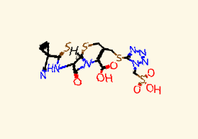 N#CC1(C(=S)NC2C(=O)N3C(C(=O)O)=C(CSc4nnnn4CS(=O)(=O)O)CS[C@@H]23)C#C1